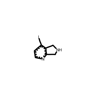 Ic1ccnc2c1CNC2